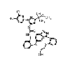 CSC(C)(C)c1cc(NC(=O)NCc2ccccc2Sc2ccc3nnc(-c4ccccc4SCCO)n3c2)n(-c2ccc(O)c(Cl)c2)n1